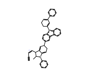 C#C/C=C\C1C2=CC(c3ccc4c(c3)c3ccccc3n4C3=CC(c4ccccc4)=CCC3)CC=C2N(c2ccccc2)C1C